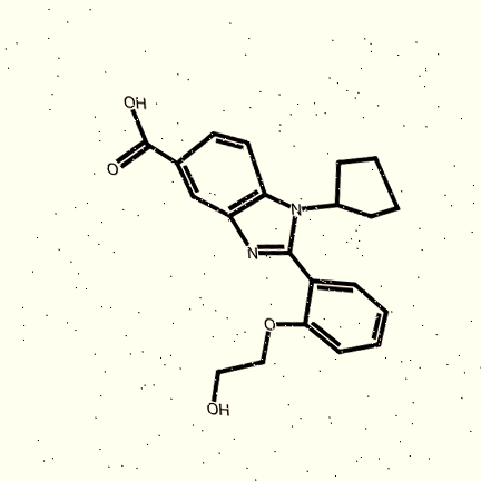 O=C(O)c1ccc2c(c1)nc(-c1ccccc1OCCO)n2C1CCCC1